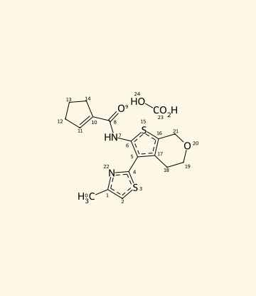 Cc1csc(-c2c(NC(=O)C3=CCCC3)sc3c2CCOC3)n1.O=C(O)O